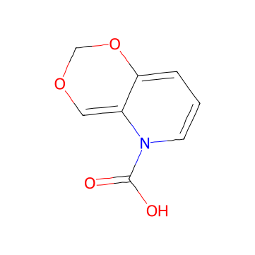 O=C(O)N1C=CC=C2OCOC=C21